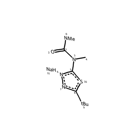 CNC(=O)N(C)c1nnc(C(C)(C)C)s1.[NaH]